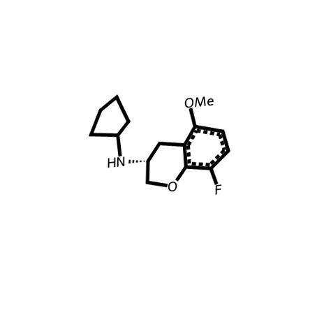 COc1ccc(F)c2c1C[C@@H](NC1CCCC1)CO2